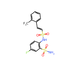 NS(=O)(=O)c1cc(F)ccc1NS(=O)(=O)C=Cc1ccccc1C(F)(F)F